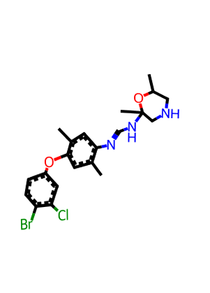 Cc1cc(Oc2ccc(Br)c(Cl)c2)c(C)cc1/N=C/NC1(C)CNCC(C)O1